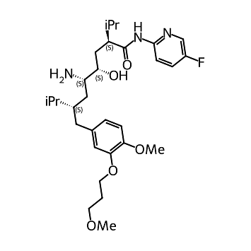 COCCCOc1cc(C[C@@H](C[C@H](N)[C@@H](O)C[C@H](C(=O)Nc2ccc(F)cn2)C(C)C)C(C)C)ccc1OC